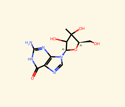 CC1(O)C(O)[C@H](n2cnc3c(=O)[nH]c(N)nc32)O[C@@H]1CO